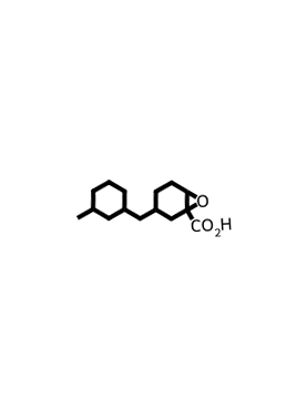 CC1CCCC(CC2CCC3OC3(C(=O)O)C2)C1